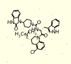 CN(C)C[C@H]1Cc2c(Cl)cccc2N(C(=O)[C@@H](Cc2c[nH]c3ccccc23)NC(=O)N2CCC(n3c(=O)[nH]c4ccccc43)CC2)C1